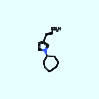 O=C(O)C=Cc1ccn(C2CCCCCC2)c1